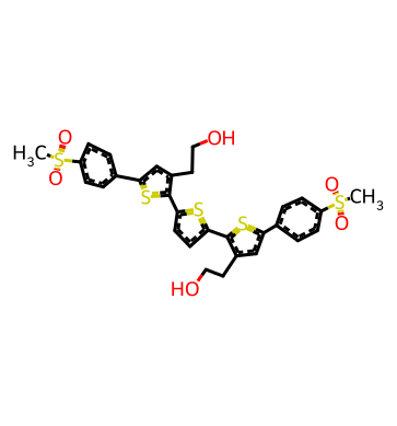 CS(=O)(=O)c1ccc(-c2cc(CCO)c(-c3ccc(-c4sc(-c5ccc(S(C)(=O)=O)cc5)cc4CCO)s3)s2)cc1